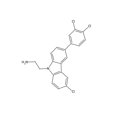 NCCn1c2ccc(Cl)cc2c2cc(-c3ccc(Cl)c(Cl)c3)ccc21